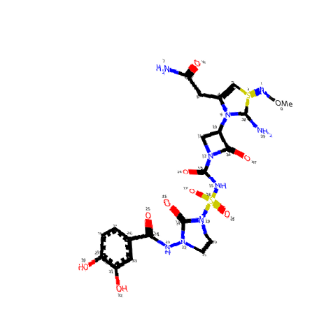 CON=S1C=C(CC(N)=O)N(C2CN(C(=O)NS(=O)(=O)N3CCN(NC(=O)c4ccc(O)c(O)c4)C3=O)C2=O)C1N